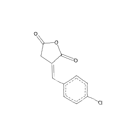 O=C1CC(=Cc2ccc(Cl)cc2)C(=O)O1